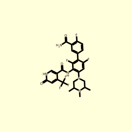 CC1CN(c2cc(F)c(-c3ccc(F)c(C(N)=O)c3)c(F)c2NC(=O)c2c[nH]c(=O)cc2C(F)(F)F)CC(C)N1C